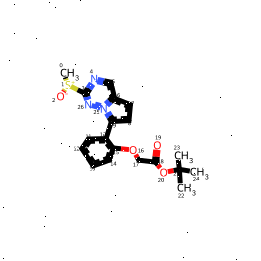 C[S+]([O-])c1ncc2ccc(-c3ccccc3OCC(=O)OC(C)(C)C)n2n1